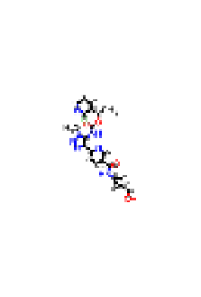 C[C@@H](OC(=O)Nc1c(-c2ccc(C(=O)NC34CC(CO)(C3)C4)cn2)nnn1C)c1cccnc1Cl